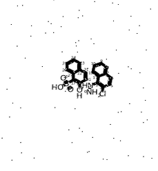 NNc1c(Cl)ccc2ccccc12.O=S(=O)(O)c1c(O)ccc2ccccc12